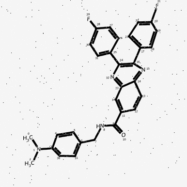 CN(C)c1ccc(CNC(=O)c2ccc3nc(-c4ccc(F)cc4)c(-c4ccc(F)cc4)nc3c2)cc1